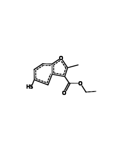 CCOC(=O)c1c(C)oc2ccc(S)cc12